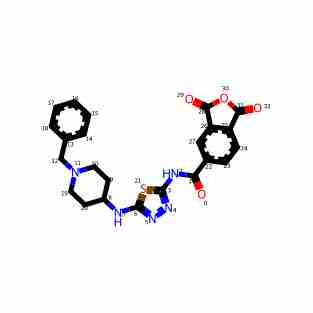 O=C(Nc1nnc(NC2CCN(Cc3ccccc3)CC2)s1)c1ccc2c(c1)C(=O)OC2=O